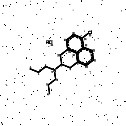 CCCN(CCC)C1Cc2cccc3c(Cl)ccc(c23)C1.Cl